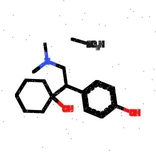 CN(C)CC(c1ccc(O)cc1)C1(O)CCCCC1.CS(=O)(=O)O